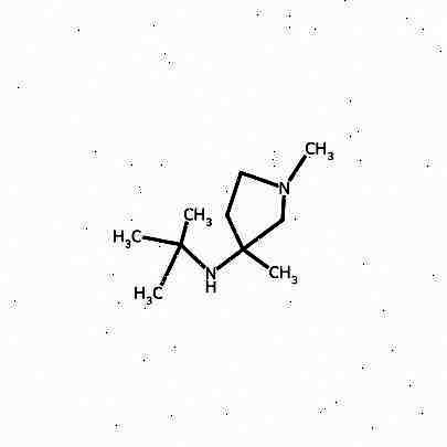 CN1CCC(C)(NC(C)(C)C)C1